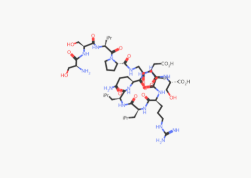 CC(C)C[C@H](NC(=O)[C@H](CC(C)C)NC(=O)[C@H](CCCNC(=N)N)NC(=O)[C@@H](NC(=O)CNC(=O)[C@@H]1CCCN1C(=O)[C@@H](NC(=O)[C@H](CO)NC(=O)[C@@H](N)CO)C(C)C)C(C)C)C(=O)N[C@@H](CCC(N)=O)C(=O)N[C@@H](CC(=O)O)C(=O)N[C@@H](CO)C(=O)O